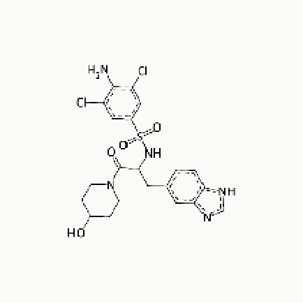 Nc1c(Cl)cc(S(=O)(=O)NC(Cc2ccc3[nH]cnc3c2)C(=O)N2CCC(O)CC2)cc1Cl